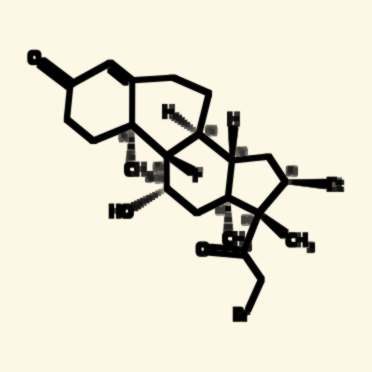 CC[C@@H]1C[C@H]2[C@@H]3CCC4=CC(=O)CC[C@]4(C)[C@@]3(F)[C@@H](O)C[C@]2(C)[C@@]1(C)C(=O)CBr